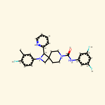 Cc1cc(N2CC3(CCN(C(=O)Nc4cc(F)cc(F)c4)CC3)C2c2ccccn2)ccc1F